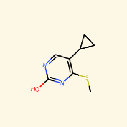 CSc1nc(O)ncc1C1CC1